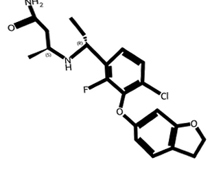 CC[C@@H](N[C@@H](C)CC(N)=O)c1ccc(Cl)c(Oc2ccc3c(c2)OCC3)c1F